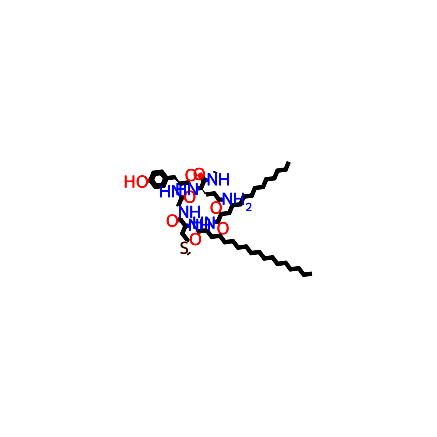 CCCCCCCCCCCCCCCCC(NC(=O)CCCCCCCCCCCCC)C(=O)NC(CCSC)C(=O)NCC(=O)N[C@@H](Cc1ccc(O)cc1)C(=O)N[C@@H](CCC(N)=O)C(=O)NC